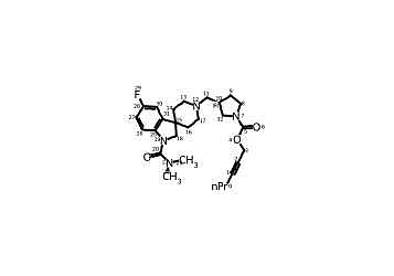 CCCC#CCOC(=O)N1CC[C@H](CN2CCC3(CC2)CN(C(=O)N(C)C)c2ccc(F)cc23)C1